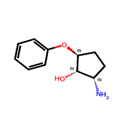 N[C@H]1CC[C@H](Oc2ccccc2)[C@H]1O